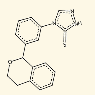 S=c1[nH]ncn1-c1cccc(C2OCCc3ccccc32)c1